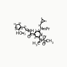 CCCN(CC1CC1)c1cc(C(=O)N[C@H](CO)CC2=CSCC2)cc(N(C)S(C)(=O)=O)n1